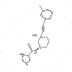 Cc1cccc(C#C[C@@]2(O)CCC[C@@H](NC(=O)c3cnc[nH]3)C2)c1